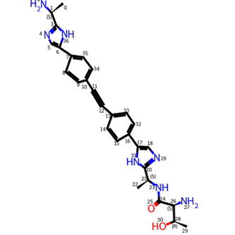 C[C@H](N)c1ncc(-c2ccc(C#Cc3ccc(-c4cnc([C@H](C)NC(=O)[C@@H](N)[C@@H](C)O)[nH]4)cc3)cc2)[nH]1